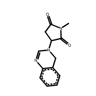 CN1C(=O)CC(N2C=Nc3ccccc3C2)C1=O